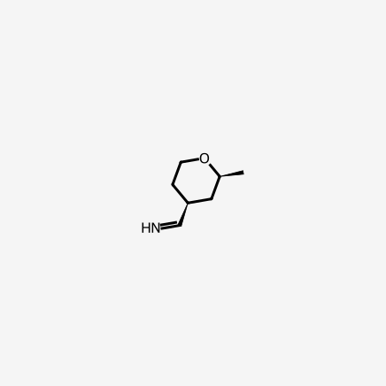 C[C@H]1C[C@@H](C=N)CCO1